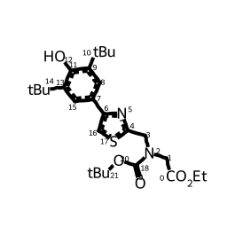 CCOC(=O)CN(Cc1nc(-c2cc(C(C)(C)C)c(O)c(C(C)(C)C)c2)cs1)C(=O)OC(C)(C)C